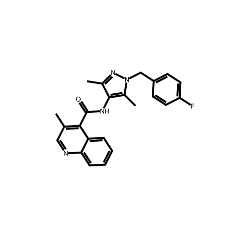 Cc1cnc2ccccc2c1C(=O)Nc1c(C)nn(Cc2ccc(F)cc2)c1C